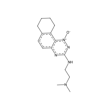 CN(C)CCNc1nc2ccc3c(c2[n+]([O-])n1)CCCC3